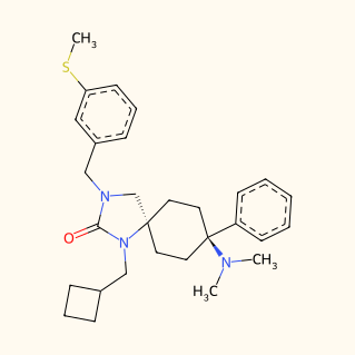 CSc1cccc(CN2C[C@]3(CC[C@](c4ccccc4)(N(C)C)CC3)N(CC3CCC3)C2=O)c1